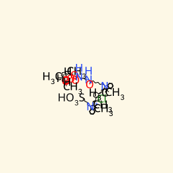 C[C@@H]1CC[C@H]2[C@@H](C)C(OC(=O)NCCCNC(=O)CCCCCN3/C(=C/C=C4\CCCC(/C=C/C5=[N+](CCCCS(=O)(=O)O)c6ccccc6C5(C)C)=C4Cl)C(C)(C)c4ccccc43)O[C@@H]3O[C@@]4(C)CC[C@@H]1[C@]32OO4